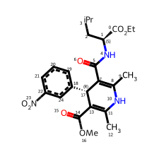 CCOC(=O)[C@H](CC(C)C)NC(=O)C1=C(C)NC(C)=C(C(=O)OC)[C@@H]1c1cccc([N+](=O)[O-])c1